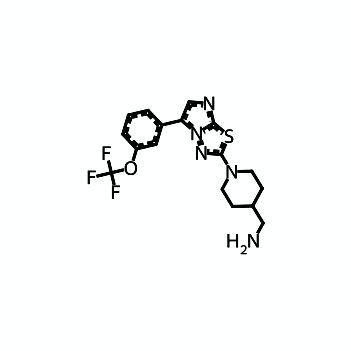 NCC1CCN(c2nn3c(-c4cccc(OC(F)(F)F)c4)cnc3s2)CC1